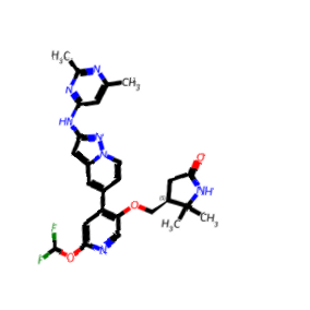 Cc1cc(Nc2cc3cc(-c4cc(OC(F)F)ncc4OC[C@H]4CC(=O)NC4(C)C)ccn3n2)nc(C)n1